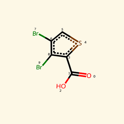 O=C(O)c1scc(Br)c1Br